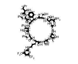 CC[C@H](C)[C@@H]1NC(=O)[C@@H](CCCNc2nc(C(F)(F)F)cc(C(F)(F)F)n2)NC(=O)[C@H](CC(C)C)NC(=O)[C@H]([C@H](O)C(C)C)NC(=O)[C@@H](NC(=O)[C@H](CC(C)C)NC(=O)[C@H](N)CC(C)C)[C@@H](c2ccccc2)OC(=O)[C@H](CO)NC(=O)[C@H]([C@H](O)C(N)=O)NC(=O)CNC(=O)[C@H]([C@H](C)O)NC1=O